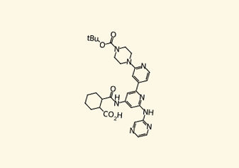 CC(C)(C)OC(=O)N1CCN(c2cc(-c3cc(NC(=O)C4CCCCC4C(=O)O)cc(Nc4cnccn4)n3)ccn2)CC1